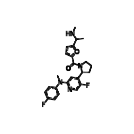 CNC(C)c1ccc(C(=O)N2CCCC2c2cc(N(C)c3ccc(F)cc3)ncc2F)o1